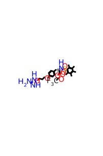 Cc1c(C)c(C)c(S(=O)(=O)N[C@@H](Cc2ccc(OCCCONC(=N)N)cc2)C(=O)OC(=O)C(F)(F)F)c(C)c1C